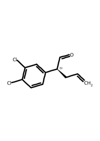 C=CC[C@H](C=O)c1ccc(Cl)c(Cl)c1